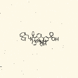 O=C(O)c1cccc(C2=CC=CC(=C3C(=O)N(CCc4ccccc4Cl)c4ccccc43)C2NNO)c1